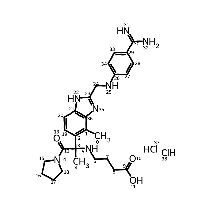 Cc1c(C(C)(NCCCC(=O)O)C(=O)N2CCCC2)ccc2[nH]c(CNc3ccc(C(=N)N)cc3)nc12.Cl.Cl